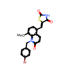 COc1ccc(C=C2SC(=O)NC2=O)c2ccc(=O)n(Cc3ccc(Br)cc3)c12